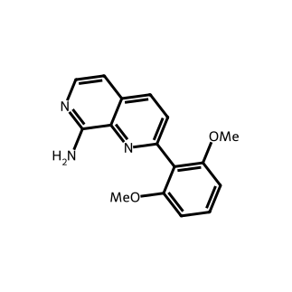 COc1cccc(OC)c1-c1ccc2ccnc(N)c2n1